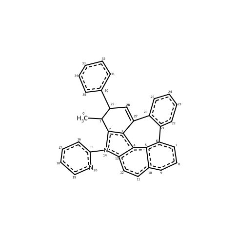 CC1c2c3c4c5c(cccc5ccc4n2-c2ccccn2)-c2ccccc2C3=CC1c1ccccc1